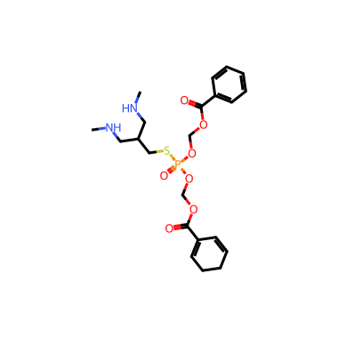 CNCC(CNC)CSP(=O)(OCOC(=O)C1=CCCC=C1)OCOC(=O)c1ccccc1